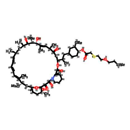 COCCOCCSCC(=O)O[C@@H]1CC[C@@H](C[C@@H](C)[C@@H]2CC(=O)[C@H](C)/C=C(\C)[C@@H](O)[C@@H](OC)C(=O)[C@H](C)C[C@H](C)/C=C/C=C/C=C(\C)[C@@H](OC)C[C@@H]3CC[C@@H](C)[C@@](O)(O3)C(=O)C(=O)N3CCCC[C@H]3C(=O)O2)C[C@H]1OC